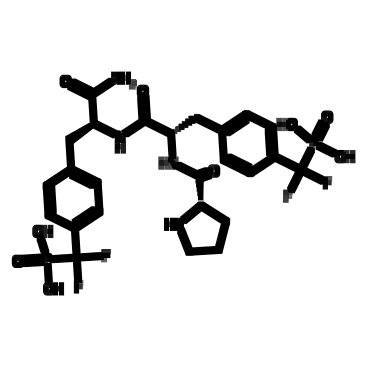 NC(=O)[C@H](Cc1ccc(C(F)(F)P(=O)(O)O)cc1)NC(=O)[C@H](Cc1ccc(C(F)(F)P(=O)(O)O)cc1)NC(=O)[C@@H]1CCCN1